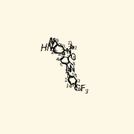 O=C(c1cccc2c1cnn2Cc1ccc(C(F)(F)F)cc1)N(C1CC1)C1CCc2[nH]ncc2C1